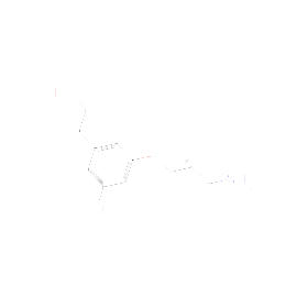 Cc1cc(CCO)cc(OC[C@H](F)CN)c1